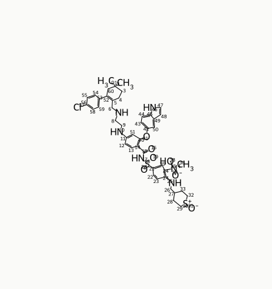 CC1(C)CCC(CNCCNc2ccc(C(=O)NS(=O)(=O)c3ccc(NCC4CC[S+]([O-])CC4)c([N+](C)([O-])O)c3)c(Oc3ccc4[nH]ccc4c3)c2)=C(c2ccc(Cl)cc2)C1